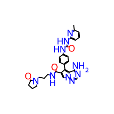 Cc1cccc(NC(=O)Nc2ccc(-c3c(C(=O)NCCCN4CCCC4=O)cn4ncnc(N)c34)cc2)n1